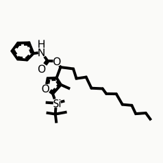 CCCCCCCCCCCCC(OC(=O)Nc1ccccc1)c1coc([Si](C)(C)C(C)(C)C)c1C